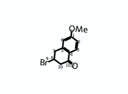 COc1ccc2c(c1)CC(Br)CC2=O